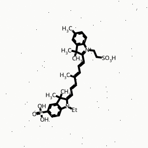 CCN1/C(=C/C=C/C(C)=C/C=C/C2=[N+](CCS(=O)(=O)O)c3ccc(C)cc3C2(C)C)C(C)(C)c2cc(P(=O)(O)O)ccc21